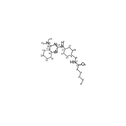 CCCCCC(=O)NCC1CCC(Nc2nc3c(c(N(C)C)n2)CCCC3)CC1